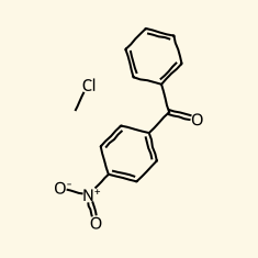 CCl.O=C(c1ccccc1)c1ccc([N+](=O)[O-])cc1